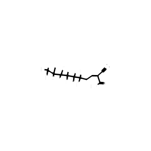 N#CC(CCC(F)(F)C(F)(F)C(F)(F)C(F)(F)C(F)(F)C(F)(F)F)C(=O)O